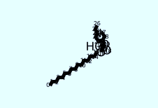 CCCCCCCCCCCCCCCCOP(=O)(O)OC1CCN(CC)CC1